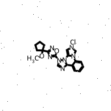 COC1(c2noc(N3C=NC4c5ccccc5N5CN(Cl)C=C5N43)n2)CCCC1